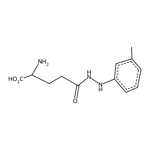 Cc1cccc(NNC(=O)CCC(N)C(=O)O)c1